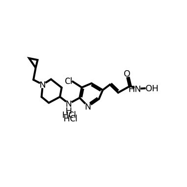 Cl.Cl.O=C(C=Cc1cnc(NC2CCN(CC3CC3)CC2)c(Cl)c1)NO